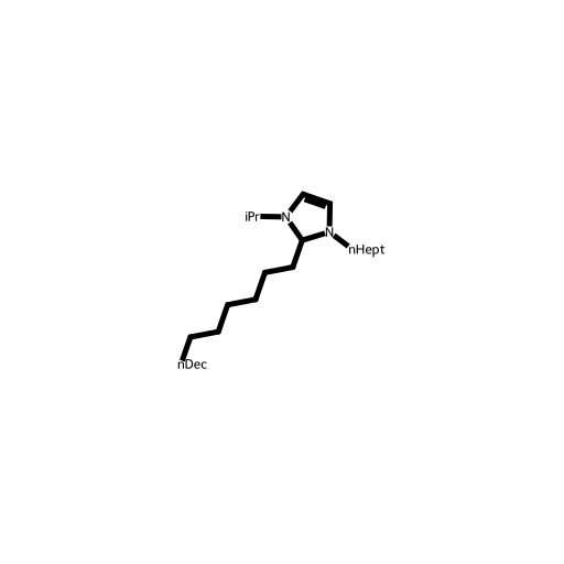 CCCCCCCCCCCCCCCCC1N(CCCCCCC)C=CN1C(C)C